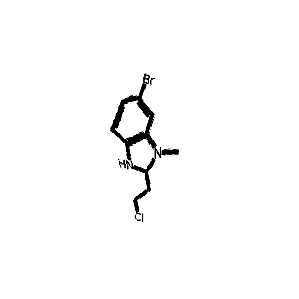 CN1c2cc(Br)ccc2NC1CCCl